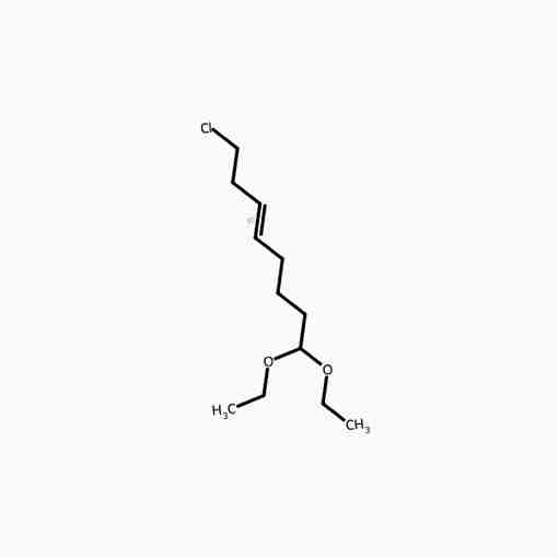 CCOC(CCC/C=C/CCCl)OCC